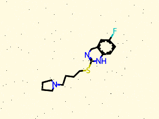 Fc1ccc2c(c1)CN=C(SCCCCN1CCCC1)N2